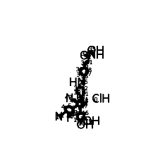 Cl.N#Cc1ccc(-c2c(-c3ccc(O)c(O)c3)cnc(N3CCC(NCc4ccc(/C=C/C(=O)NO)cc4)CC3)c2C#N)cc1F